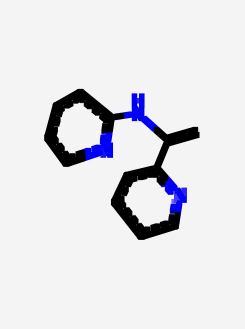 C=C(Nc1ccccn1)c1ccccn1